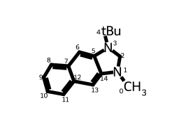 CN1CN(C(C)(C)C)c2cc3ccccc3cc21